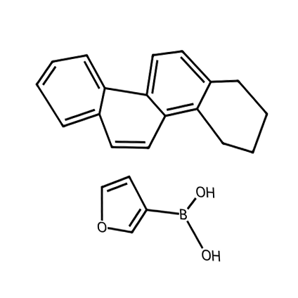 OB(O)c1ccoc1.c1ccc2c(c1)ccc1c3c(ccc12)CCCC3